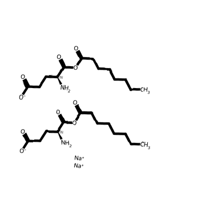 CCCCCCCC(=O)OC(=O)[C@@H](N)CCC(=O)[O-].CCCCCCCC(=O)OC(=O)[C@@H](N)CCC(=O)[O-].[Na+].[Na+]